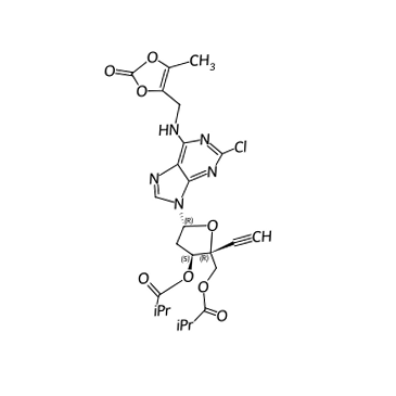 C#C[C@]1(COC(=O)C(C)C)O[C@@H](n2cnc3c(NCc4oc(=O)oc4C)nc(Cl)nc32)C[C@@H]1OC(=O)C(C)C